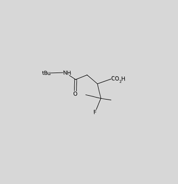 CC(C)(C)NC(=O)CC(C(=O)O)C(C)(C)F